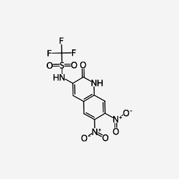 O=c1[nH]c2cc([N+](=O)[O-])c([N+](=O)[O-])cc2cc1NS(=O)(=O)C(F)(F)F